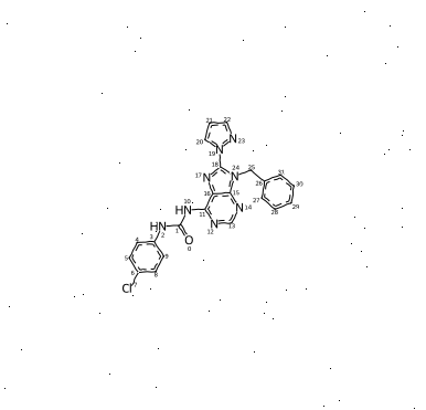 O=C(Nc1ccc(Cl)cc1)Nc1ncnc2c1nc(-n1cccn1)n2Cc1ccccc1